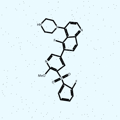 COc1ncc(-c2ccc3nccc(N4CCNCC4)c3c2F)cc1S(=O)(=O)c1ccccc1F